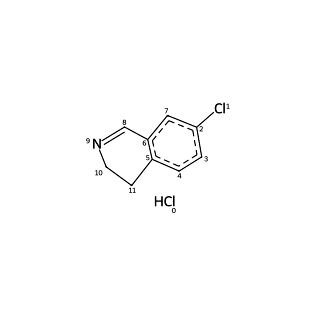 Cl.Clc1ccc2c(c1)C=NCC2